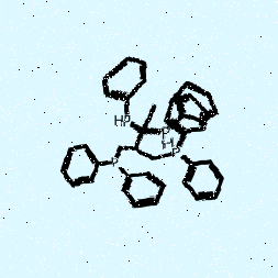 CC(Pc1ccccc1)(Pc1ccccc1)C(CP(c1ccccc1)c1ccccc1)CP(c1ccccc1)c1ccccc1